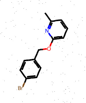 Cc1cccc(OCc2ccc(Br)cc2)n1